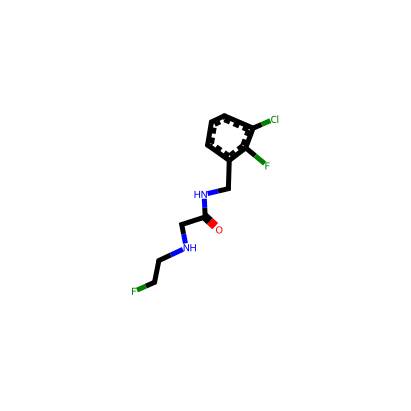 O=C(CNCCF)NCc1cccc(Cl)c1F